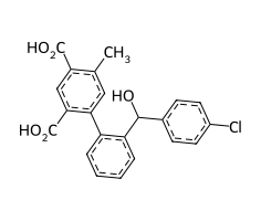 Cc1cc(-c2ccccc2C(O)c2ccc(Cl)cc2)c(C(=O)O)cc1C(=O)O